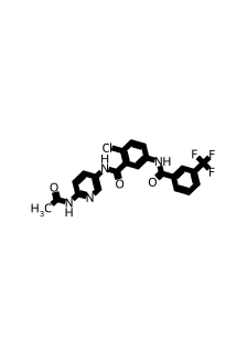 CC(=O)Nc1ccc(NC(=O)c2cc(NC(=O)c3cccc(C(F)(F)F)c3)ccc2Cl)cn1